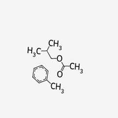 CC(=O)OCC(C)C.Cc1ccccc1